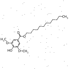 CCCCCCCCCCCCOC(=O)c1cc(OC)c(O)c(OC)c1